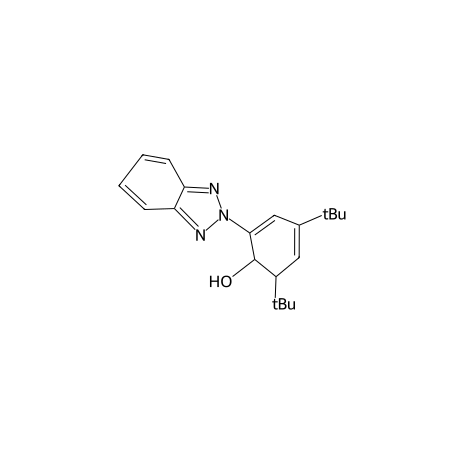 CC(C)(C)C1=CC(C(C)(C)C)C(O)C(n2nc3ccccc3n2)=C1